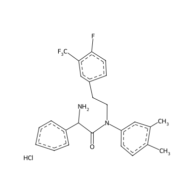 Cc1ccc(N(CCc2ccc(F)c(C(F)(F)F)c2)C(=O)C(N)c2ccccc2)cc1C.Cl